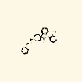 COc1ncccc1NC(=O)C1(c2ccccc2)CCN(C(=O)OCc2ccccc2)CC1